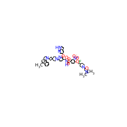 CC(C)c1ccccc1C1CCCN1C1CC2(CCN(c3ccc(C(=O)NS(=O)(=O)c4ccc(OCC5(F)CCN(C(=O)CN(C)C)CC5)c([N+](=O)[O-])c4)c(Oc4cnc5[nH]ccc5c4)n3)CC2)C1